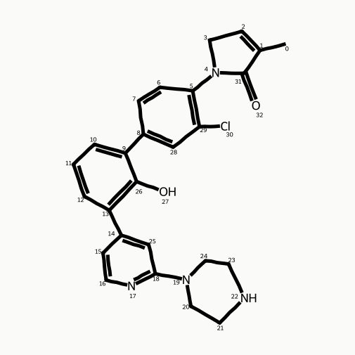 CC1=CCN(c2ccc(-c3cccc(-c4ccnc(N5CCNCC5)c4)c3O)cc2Cl)C1=O